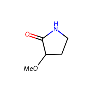 COC1CCNC1=O